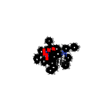 CC(C)(C)C1(C2(C(C)(C)C)c3ccc4ccccc4c3-c3c2cc(N(c2cccc(-c4ccccc4)c2)c2cccc(-c4ccccc4)c2)c2ccccc32)c2ccc3ccccc3c2-c2c1cc(N(c1cccc(-c3ccccc3)c1)c1cccc(-c3ccccc3)c1)c1ccccc21